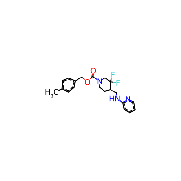 Cc1ccc(COC(=O)N2CC[C@H](CNc3ccccn3)C(F)(F)C2)cc1